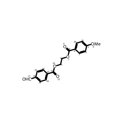 COc1ccc(C(=O)OCCOC(=O)c2ccc(C=O)cc2)cc1